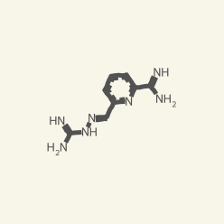 N=C(N)NN=Cc1cccc(C(=N)N)n1